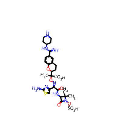 CC(ON=C(C(=O)NC1C(=O)N(OS(=O)(=O)O)C1(C)C)c1csc(N)n1)(C(=O)O)C1CCc2cc(C(=N)NC3CCNCC3)ccc2O1